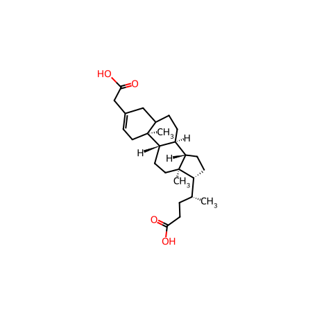 C[C@H](CCC(=O)O)[C@H]1CC[C@H]2[C@@H]3CCC4CC(CC(=O)O)=CC[C@]4(C)[C@H]3CC[C@]12C